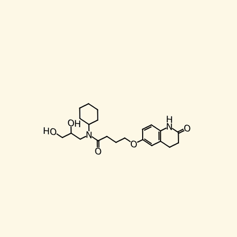 O=C1CCc2cc(OCCCC(=O)N(CC(O)CO)C3CCCCC3)ccc2N1